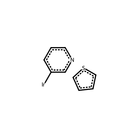 [Ir][c]1cccnc1.c1ccsc1